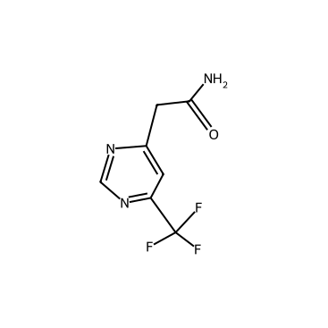 NC(=O)Cc1cc(C(F)(F)F)ncn1